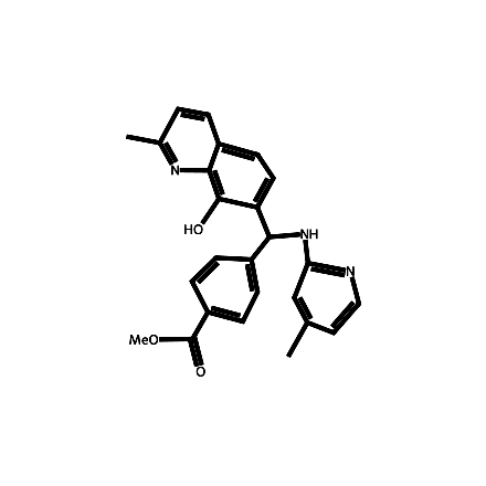 COC(=O)c1ccc(C(Nc2cc(C)ccn2)c2ccc3ccc(C)nc3c2O)cc1